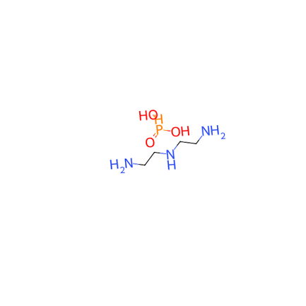 NCCNCCN.O=[PH](O)O